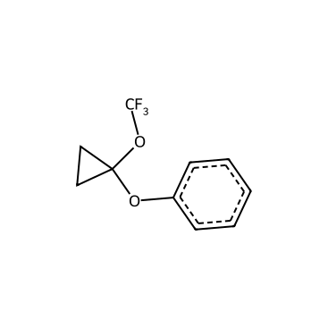 FC(F)(F)OC1(Oc2ccccc2)CC1